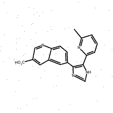 Cc1cccc(-c2[nH]cnc2-c2ccc3ncc(C(=O)O)cc3c2)n1